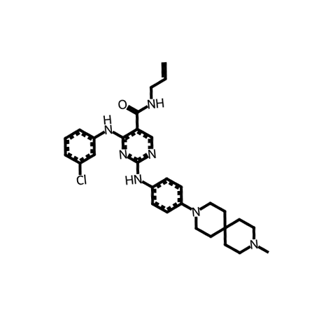 C=CCNC(=O)c1cnc(Nc2ccc(N3CCC4(CCN(C)CC4)CC3)cc2)nc1Nc1cccc(Cl)c1